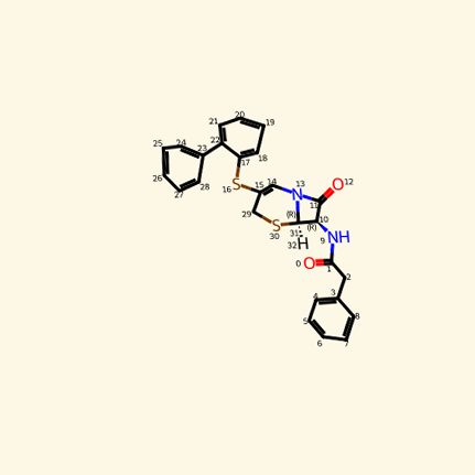 O=C(Cc1ccccc1)N[C@@H]1C(=O)N2C=C(Sc3ccccc3-c3ccccc3)CS[C@H]12